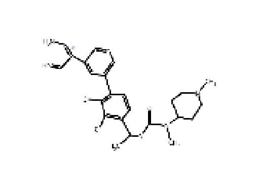 CC(NC(=O)N(C)C1CCN(C)CC1)c1ccc(-c2cncc(/C(C=N)=C/N)c2)c(Cl)c1Cl